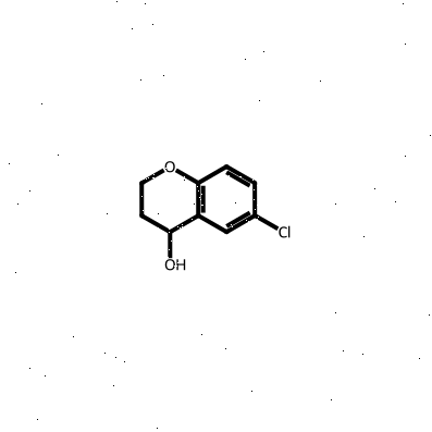 OC1CCOc2ccc(Cl)cc21